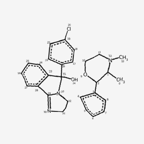 CC1C(c2ccccc2)OCCN1C.OC1(c2ccc(Cl)cc2)c2ccccc2C2=NCCN21